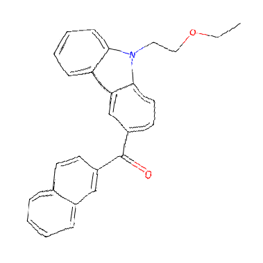 CCOCCn1c2ccccc2c2cc(C(=O)c3ccc4ccccc4c3)ccc21